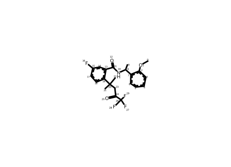 COc1ccccc1C(C)NC(=O)c1cc(F)ccc1C(C)(C)CC(=O)C(F)(F)F